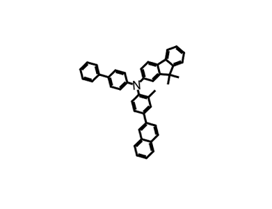 Cc1cc(-c2ccc3ccccc3c2)ccc1N(c1ccc(-c2ccccc2)cc1)c1ccc2c(c1)C(C)(C)c1ccccc1-2